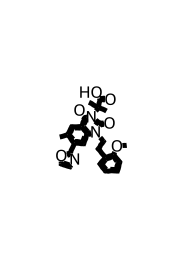 COc1ccccc1CCn1c(=O)n(C(C)(C)C(=O)O)c(=O)c2cc(C)c(-c3ncco3)cc21